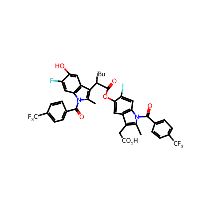 CCC(C)C(C(=O)Oc1cc2c(CC(=O)O)c(C)n(C(=O)c3ccc(C(F)(F)F)cc3)c2cc1F)c1c(C)n(C(=O)c2ccc(C(F)(F)F)cc2)c2cc(F)c(O)cc12